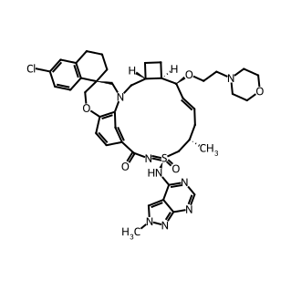 C[C@H]1C/C=C/[C@H](OCCN2CCOCC2)[C@@H]2CC[C@H]2CN2C[C@@]3(CCCc4cc(Cl)ccc43)COc3ccc(cc32)C(=O)N=[S@](=O)(Nc2ncnc3nn(C)cc23)C1